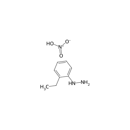 CCc1ccccc1NN.O=[N+]([O-])O